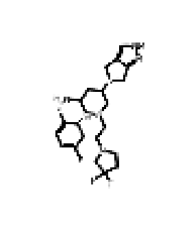 NC1CC(N2Cc3c[nH]nc3C2)CN(CCN2CCC(F)(F)C2)[C@@H]1C1CC(F)=CC=C1F